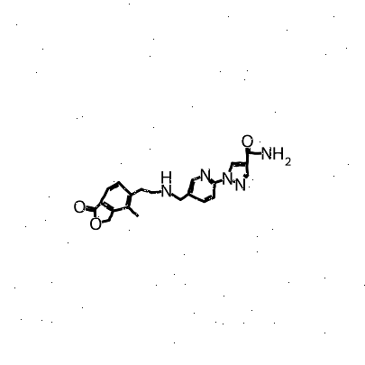 Cc1c(CCNCc2ccc(-n3cc(C(N)=O)cn3)nc2)ccc2c1COC2=O